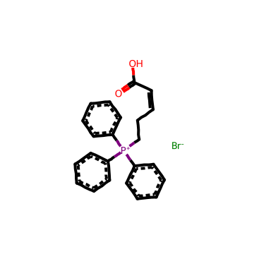 O=C(O)/C=C\CC[P+](c1ccccc1)(c1ccccc1)c1ccccc1.[Br-]